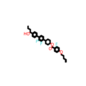 C=CCCCOc1ccc(C(=O)OC2CCC(c3ccc(-c4ccc(C(O)CCC)cc4)c(F)c3F)CC2)c(F)c1